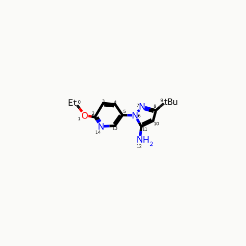 CCOc1ccc(-n2nc(C(C)(C)C)cc2N)cn1